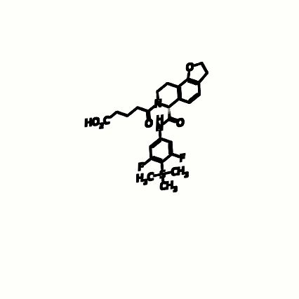 CS(C)(C)c1c(F)cc(NC(=O)[C@H]2c3ccc4c(c3CCN2C(=O)CCCC(=O)O)OCC4)cc1F